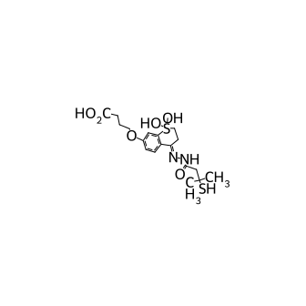 CC(C)(S)CC(=O)NN=C1CCS(O)(O)c2cc(OCCCC(=O)O)ccc21